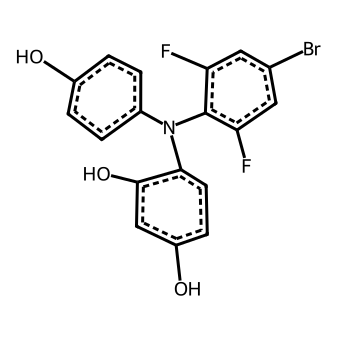 Oc1ccc(N(c2ccc(O)cc2O)c2c(F)cc(Br)cc2F)cc1